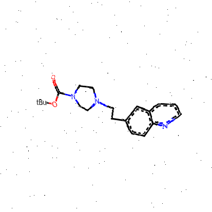 CC(C)(C)OC(=O)N1CCN(CCc2ccc3ncccc3c2)CC1